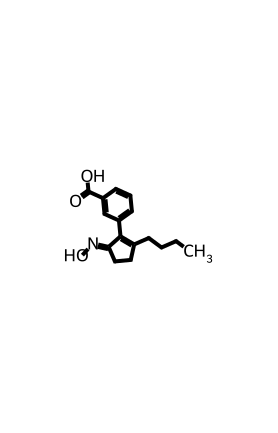 CCCCC1=C(c2cccc(C(=O)O)c2)C(=NO)CC1